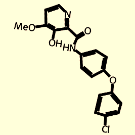 COc1ccnc(C(=O)Nc2ccc(Oc3ccc(Cl)cc3)cc2)c1O